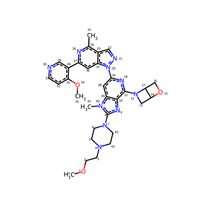 COCCN1CCN(c2nc3c(N4CC5OCC54)nc(-n4ncc5c(C)nc(-c6cnccc6OC)cc54)cc3n2C)CC1